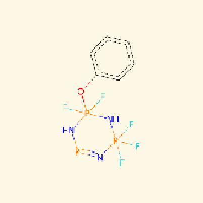 FP1(F)(F)N=PNP(F)(F)(Oc2ccccc2)N1